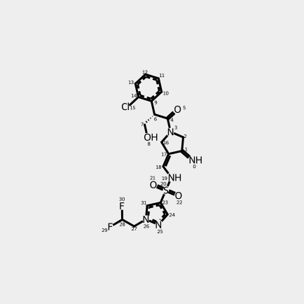 N=C1CN(C(=O)[C@H](CO)c2ccccc2Cl)C/C1=C/NS(=O)(=O)c1cnn(CC(F)F)c1